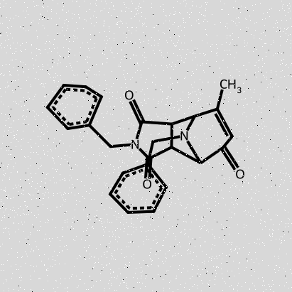 CC1=CC(=O)C2C3C(=O)N(Cc4ccccc4)C(=O)C3C1N2Cc1ccccc1